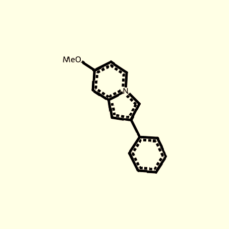 COc1ccn2cc(-c3ccccc3)cc2c1